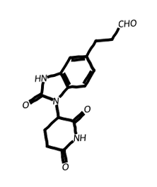 O=CCCc1ccc2c(c1)[nH]c(=O)n2C1CCC(=O)NC1=O